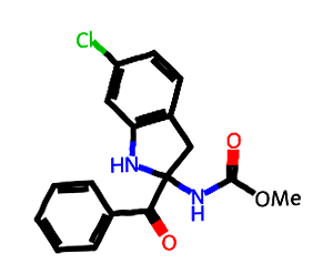 COC(=O)NC1(C(=O)c2ccccc2)Cc2ccc(Cl)cc2N1